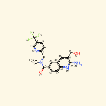 CN(Cc1ccc(C(F)(F)F)cn1)C(=O)c1ccc2nc(N)c(CO)cc2c1